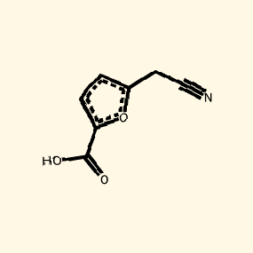 N#CCc1ccc(C(=O)O)o1